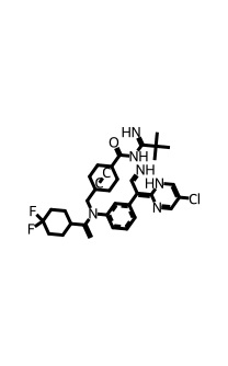 C=C(C1CCC(F)(F)CC1)N(CC12CCC(C(=O)NC(=N)C(C)(C)C)(CC1)CC2)c1cccc(/C(C=N)=C2\N=CC(Cl)=CN2)c1